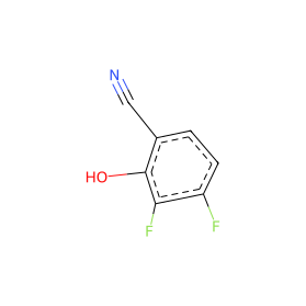 N#Cc1ccc(F)c(F)c1O